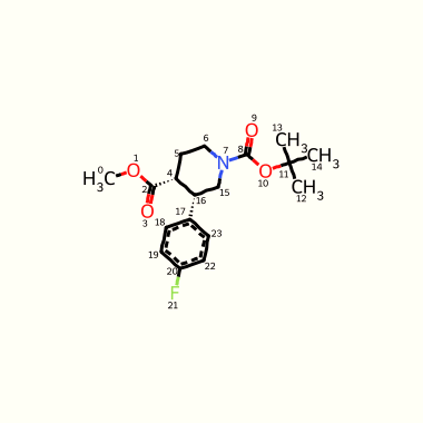 COC(=O)[C@@H]1CCN(C(=O)OC(C)(C)C)C[C@@H]1c1ccc(F)cc1